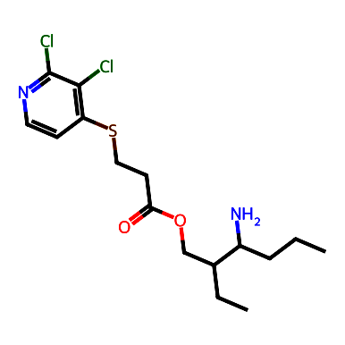 CCCC(N)C(CC)COC(=O)CCSc1ccnc(Cl)c1Cl